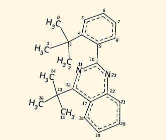 CC(C)(C)c1ccccc1-c1nc(C(C)(C)C)c2ccccc2n1